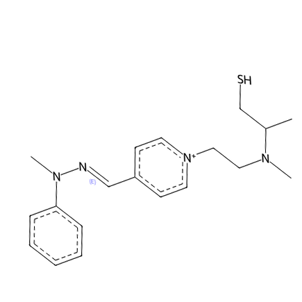 CC(CS)N(C)CC[n+]1ccc(/C=N/N(C)c2ccccc2)cc1